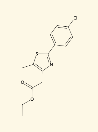 CCOC(=O)Cc1nc(-c2ccc(Cl)cc2)sc1C